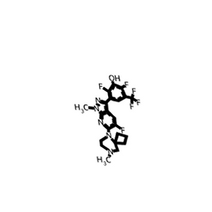 CN1CCN(c2nc3c(cc2F)c(-c2cc(C(F)(F)F)c(F)c(O)c2F)nn3C)C2(CCC2)C1